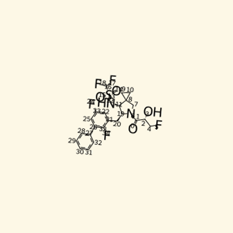 O=C([C@H](O)CF)N1CC2(CC2)[C@H](NS(=O)(=O)C(F)F)[C@@H]1Cc1cc(F)cc(-c2ccccc2)c1F